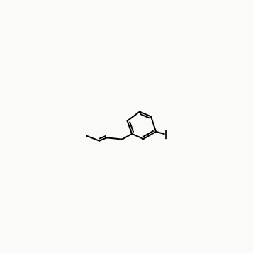 CC=CCc1cccc(I)c1